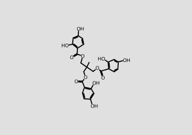 CC(COC(=O)c1ccc(O)cc1O)(COC(=O)c1ccc(O)cc1O)COC(=O)c1ccc(O)cc1O